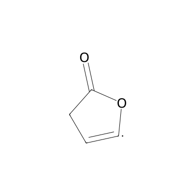 O=C1CC=[C]O1